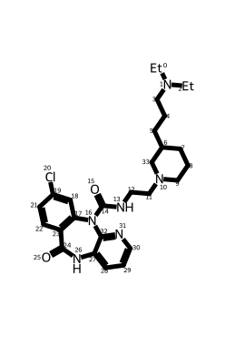 CCN(CC)CCCC1CCCN(CCNC(=O)N2c3cc(Cl)ccc3C(=O)Nc3cccnc32)C1